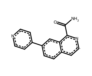 NC(=O)c1n[c]cc2ccc(-c3ccncc3)cc12